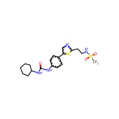 O=C(Nc1ccc(-c2cnc(CCNS(=O)(=O)C(F)(F)F)s2)cc1)NC1CCCCC1